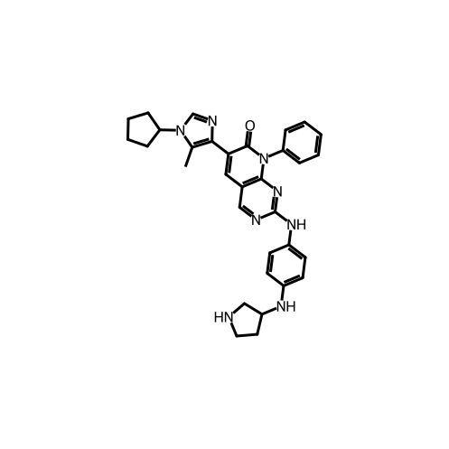 Cc1c(-c2cc3cnc(Nc4ccc(NC5CCNC5)cc4)nc3n(-c3ccccc3)c2=O)ncn1C1CCCC1